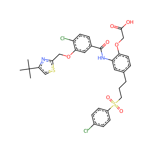 CC(C)(C)c1csc(COc2cc(C(=O)Nc3cc(CCCS(=O)(=O)c4ccc(Cl)cc4)ccc3OCC(=O)O)ccc2Cl)n1